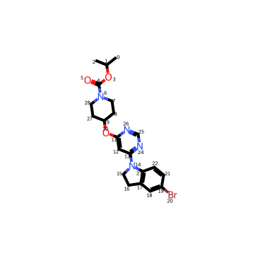 CC(C)OC(=O)N1CCC(Oc2cc(N3CCc4cc(Br)ccc43)ncn2)CC1